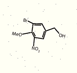 COc1c(Br)cc(CO)cc1[N+](=O)[O-]